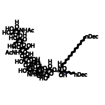 CCCCCCCCCCCCC/C=C/[C@@H](O)[C@H](CO[C@@H]1OC(CO)[C@@H](O[C@@H]2OC(CO)[C@H](O)[C@H](O[C@@H]3OC(CO)[C@@H](O[C@@H]4OC(CO)[C@H](O)[C@H](O[C@@H]5OC(CO)[C@@H](O[C@@H]6OC(CO)[C@H](O)[C@H](O[C@@H]7OC(CO)[C@@H](O)[C@H](O)C7NC(C)=O)C6O)[C@H](O)C5NC(C)=O)C4O)[C@H](O)C3NC(C)=O)C2O)[C@H](O)C1O)NC(=O)CCCCCCCCCCCCCCCCCCCCCCCCC